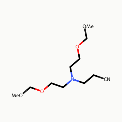 COCOCCN(CCC#N)CCOCOC